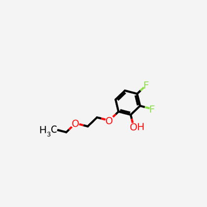 CCOCCOc1ccc(F)c(F)c1O